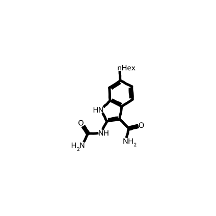 CCCCCCc1ccc2c(C(N)=O)c(NC(N)=O)[nH]c2c1